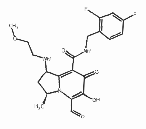 COCCNC1C[C@H](C)n2c(C=O)c(O)c(=O)c(C(=O)NCc3ccc(F)cc3F)c21